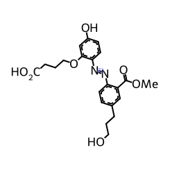 COC(=O)c1cc(CCCO)ccc1/N=N/c1ccc(O)cc1OCCCC(=O)O